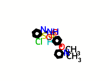 CN(C)[C@H]1CCCC[C@@H]1Oc1ccc(S(=O)(=O)Nc2nc3cccc(Cl)c3s2)c(F)c1